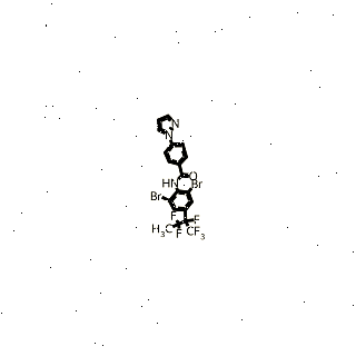 CC(F)(F)C(F)(c1cc(Br)c(NC(=O)c2ccc(-n3cccn3)cc2)c(Br)c1)C(F)(F)F